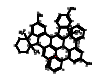 Cc1cc2c3c(c1)N1c4c(cc(C(C)(C)C)cc4C4(C)CCCCC14C)B3C1=C(N2c2c(-c3ccccc3)cc(C(C)(C)C)cc2-c2ccccc2)C(C)(C)c2cc(C(C)(C)C)ccc21